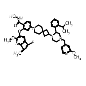 C=C1C=C(F)c2cc(Oc3cc(N4CCC5(CC4)CC(N4CCN(Cc6ccnc(OC)c6)CC4c4ccccc4C(C)C)C5)ccc3C(=O)NO)c(OC)nc21